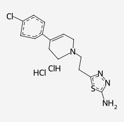 Cl.Cl.Nc1nnc(CCN2CC=C(c3ccc(Cl)cc3)CC2)s1